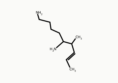 CC=CC(C)C(N)CCCCN